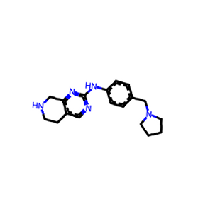 c1cc(Nc2ncc3c(n2)CNCC3)ccc1CN1CCCC1